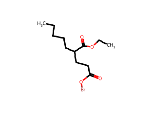 CCCCCC(CCC(=O)OBr)C(=O)OCC